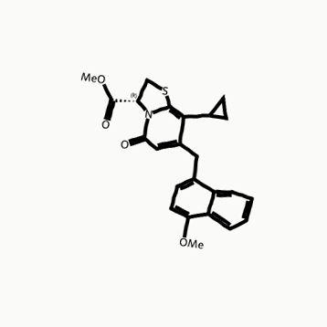 COC(=O)[C@@H]1CSc2c(C3CC3)c(Cc3ccc(OC)c4ccccc34)cc(=O)n21